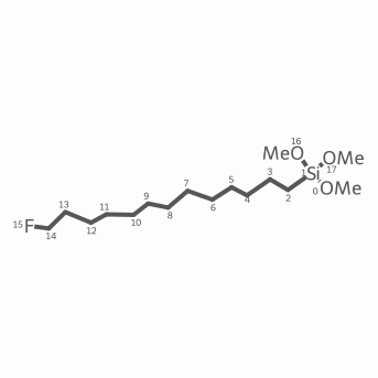 CO[Si](CCCCCCCCCCCCCF)(OC)OC